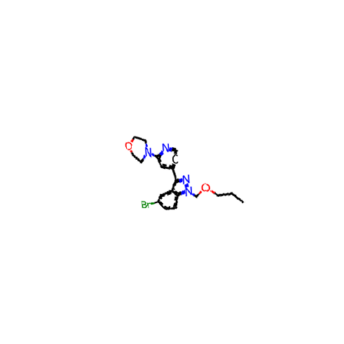 CCCOCn1nc(-c2ccnc(N3CCOCC3)c2)c2cc(Br)ccc21